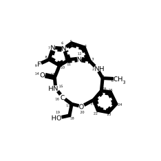 CC1Nc2ccn3nc(F)c(c3n2)C(=O)NCC(CO)Oc2ccccc21